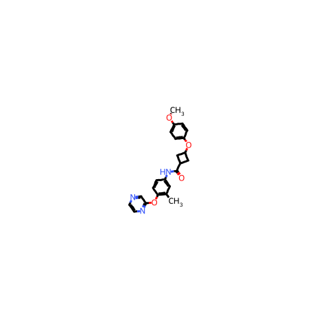 COc1ccc(OC2CC(C(=O)Nc3ccc(Oc4cnccn4)c(C)c3)C2)cc1